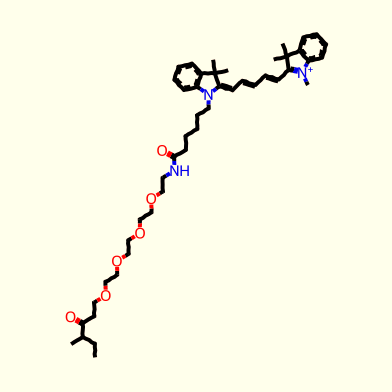 CCC(C)C(=O)CCOCCOCCOCCOCCNC(=O)CCCCCN1/C(=C/C=C/C=C/C2=[N+](C)c3ccccc3C2(C)C)C(C)(C)c2ccccc21